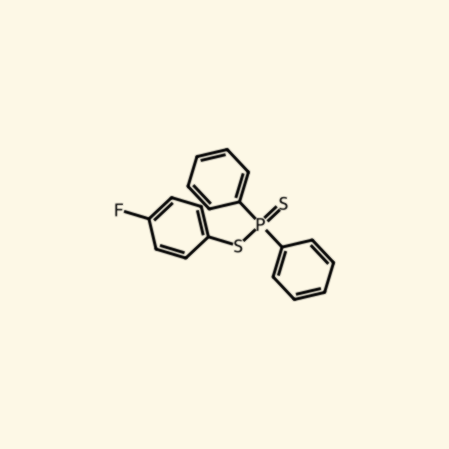 Fc1ccc(SP(=S)(c2ccccc2)c2ccccc2)cc1